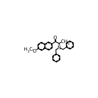 COc1ccc2cc(C(=O)C(C)N(Cc3ccccc3)Cc3ccccc3)ccc2c1